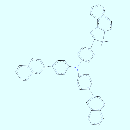 CC1(C)C(c2ccc(N(c3ccc(-c4ccc5ccccc5c4)cc3)c3ccc(-c4ccc5ccccc5c4)cc3)cc2)=Cc2c1ccc1ccccc21